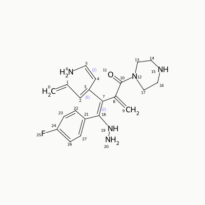 C=C/C=C(\C=C/N)C(/C(=C)C(=O)N1CCNCC1)=C(/NN)c1ccc(F)cc1